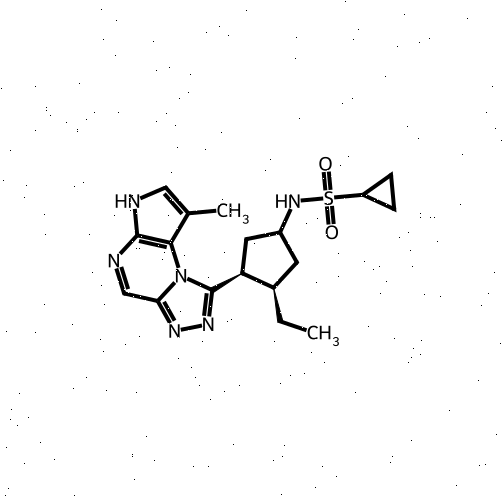 CC[C@@H]1CC(NS(=O)(=O)C2CC2)C[C@@H]1c1nnc2cnc3[nH]cc(C)c3n12